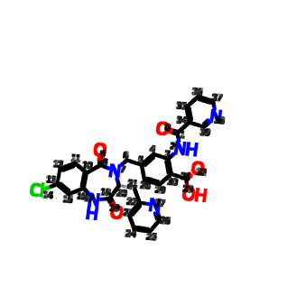 O=C(Nc1cc(CN2C(=O)c3ccc(Cl)cc3NC(=O)[C@H]2Cc2ccccn2)ccc1C(=O)O)c1cccnc1